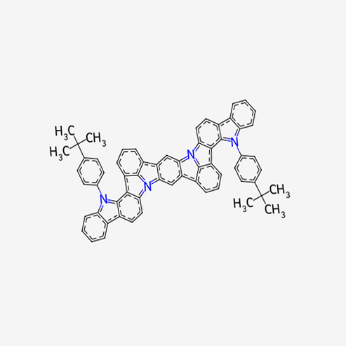 CC(C)(C)c1ccc(-n2c3ccccc3c3ccc4c(c5cccc6c7cc8c(cc7n4c65)c4cccc5c6c7c(ccc6n8c45)c4ccccc4n7-c4ccc(C(C)(C)C)cc4)c32)cc1